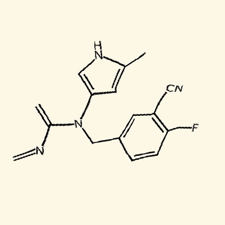 C=NC(=C)N(Cc1ccc(F)c(C#N)c1)c1c[nH]c(C)c1